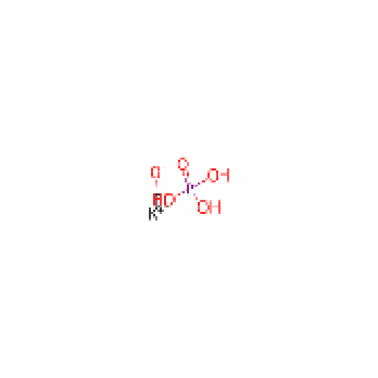 CC[O-].O=P(O)(O)O.[K+]